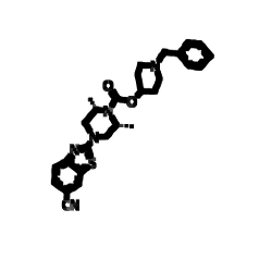 C[C@@H]1CN(c2nc3ccc(C#N)cc3s2)C[C@H](C)N1C(=O)OC1CCN(Cc2ccccc2)CC1